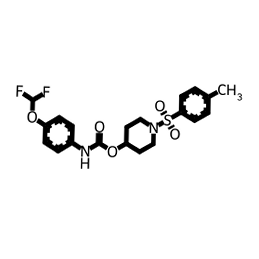 Cc1ccc(S(=O)(=O)N2CCC(OC(=O)Nc3ccc(OC(F)F)cc3)CC2)cc1